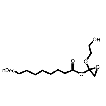 CCCCCCCCCCCCCCCCCC(=O)OC1(OCCO)CO1